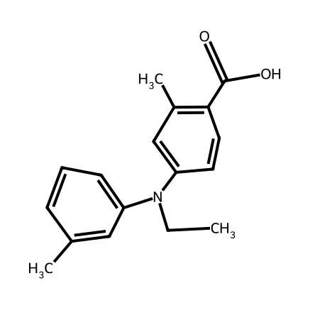 CCN(c1cccc(C)c1)c1ccc(C(=O)O)c(C)c1